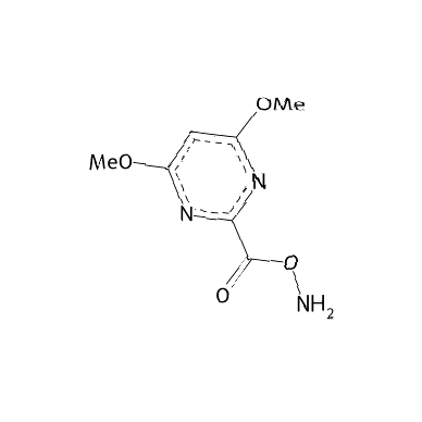 COc1cc(OC)nc(C(=O)ON)n1